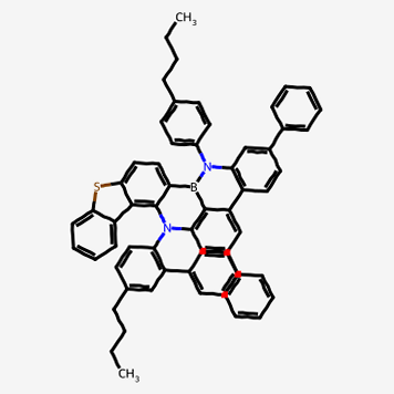 CCCCc1ccc(N2B3c4ccc5sc6ccccc6c5c4N(c4ccc(CCCC)cc4-c4ccccc4)c4cc(-c5ccccc5)cc(c43)-c3ccc(-c4ccccc4)cc32)cc1